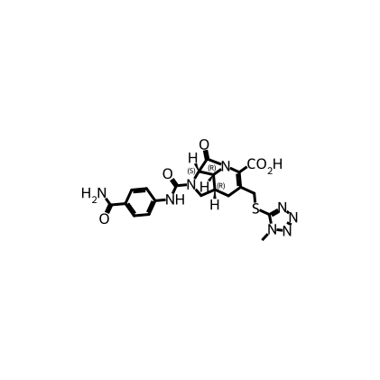 Cn1nnnc1SCC1=C(C(=O)O)N2C(=O)[C@@H]3[C@H]2[C@H](C1)CN3C(=O)Nc1ccc(C(N)=O)cc1